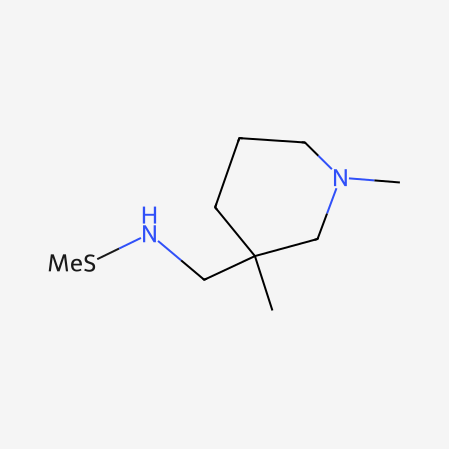 CSNCC1(C)CCCN(C)C1